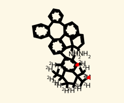 [2H]c1c([2H])c2c(c([2H])c1-c1ccc3c(c1C1(N)C=CC=CC1N)-c1ccccc1-c1ccccc1-c1ccccc1-3)C([2H])(C([2H])([2H])[2H])C([2H])([2H])C([2H])([2H])C2(C([2H])([2H])[2H])C([2H])([2H])[2H]